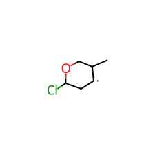 CC1[CH]CC(Cl)OC1